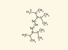 CC(C)P([Se][Se][Se]P(C(C)C)C(C)C)C(C)C